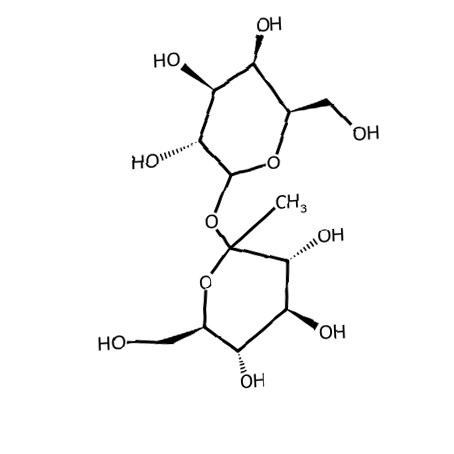 CC1(OC2O[C@H](CO)[C@H](O)[C@H](O)[C@H]2O)O[C@H](CO)[C@@H](O)[C@H](O)[C@H]1O